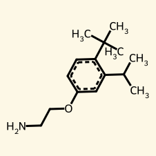 CC(C)c1cc(OCCN)ccc1C(C)(C)C